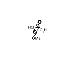 COCCN1CCN(Cc2sc(-c3ccccc3)nc2C(=O)O)CC1.Cl